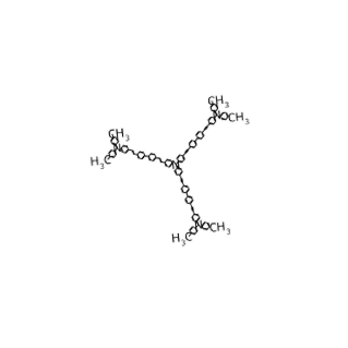 Cc1ccc(N(c2ccc(C)cc2)c2ccc(C#Cc3ccc(-c4ccc(C#Cc5ccc(N(c6ccc(C#Cc7ccc(-c8ccc(C#Cc9ccc(N(c%10ccc(C)cc%10)c%10ccc(C)cc%10)cc9)cc8)cc7)cc6)c6ccc(C=Cc7ccc(-c8ccc(C=Cc9ccc(N(c%10ccc(C)cc%10)c%10ccc(C)cc%10)cc9)cc8)cc7)cc6)cc5)cc4)cc3)cc2)cc1